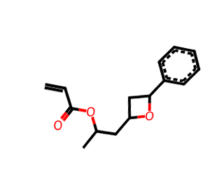 C=CC(=O)OC(C)CC1CC(c2ccccc2)O1